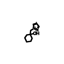 OC1(Cn2c[c]cn2)CCCCC1